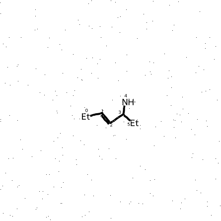 CC/C=C/C([NH])CC